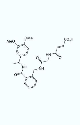 COc1ccc(C(C)NC(=O)c2ccccc2CNC(=O)CNC(=O)/C=C/C(=O)O)cc1OC